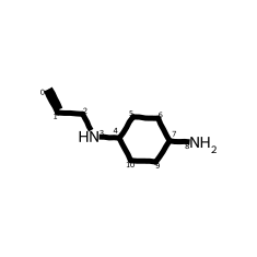 C=CCNC1CCC(N)CC1